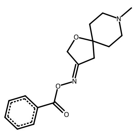 CN1CCC2(CC1)CC(=NOC(=O)c1ccccc1)CO2